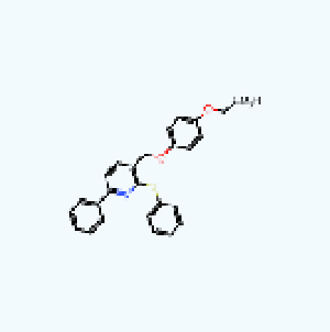 O=C(O)COc1ccc(OCc2ccc(-c3ccccc3)nc2Sc2ccccc2)cc1